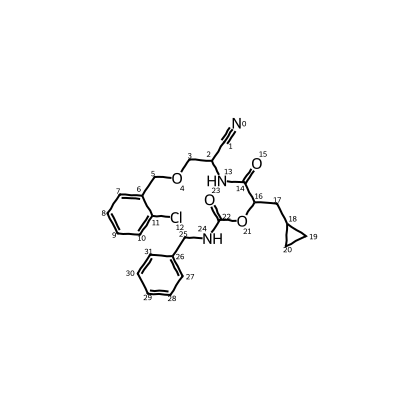 N#CC(COCc1ccccc1Cl)NC(=O)C(CC1CC1)OC(=O)NCc1ccccc1